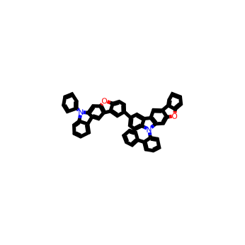 c1ccc(-c2ccccc2-n2c3ccc(-c4ccc5oc6cc7c(cc6c5c4)c4ccccc4n7-c4ccccc4)cc3c3cc4c(cc32)oc2ccccc24)cc1